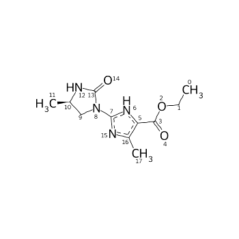 CCOC(=O)c1[nH]c(N2C[C@@H](C)NC2=O)nc1C